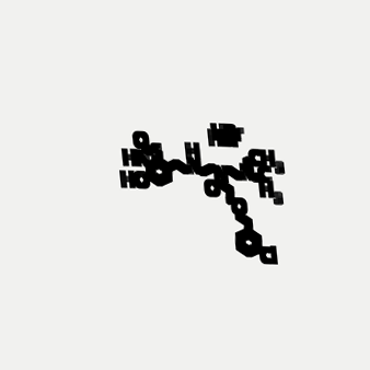 Br.Br.CCN(CC)CCN(CCNCCc1ccc(O)c2[nH]c(=O)sc12)C(=O)CCOCCc1cccc(Cl)c1